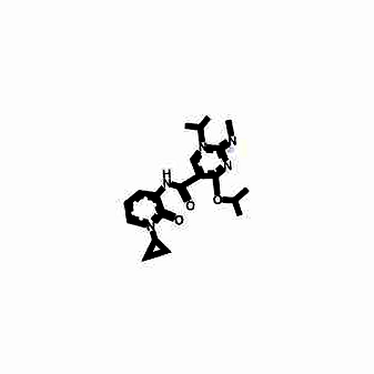 C/N=c1/nc(OC(C)C)c(C(=O)Nc2cccn(C3CC3)c2=O)cn1C(C)C